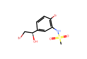 CS(=O)(=O)Nc1cc([C@@H](O)CBr)ccc1Br